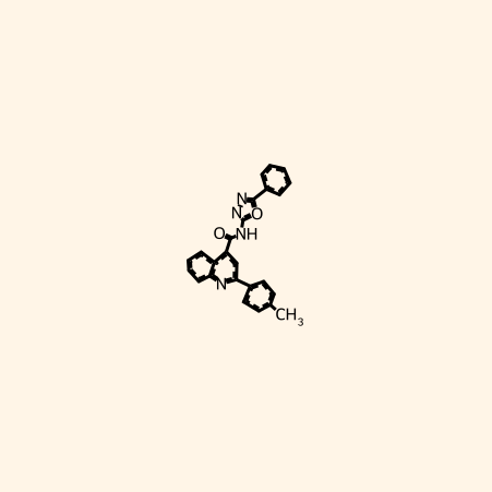 Cc1ccc(-c2cc(C(=O)Nc3nnc(-c4ccccc4)o3)c3ccccc3n2)cc1